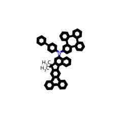 CC1(C)c2cc3c4ccccc4c4ccccc4c3cc2-c2c1cc(N(c1ccc(-c3ccccc3)cc1)c1ccc3c(c1)-c1ccccc1-c1ccccc1-c1ccccc1-3)c1ccccc21